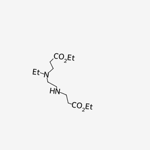 CCOC(=O)CCNCCN(CC)CCC(=O)OCC